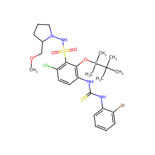 COCC1CCCN1NS(=O)(=O)c1c(Cl)ccc(NC(=S)Nc2ccccc2Br)c1O[Si](C)(C)C(C)(C)C